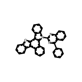 c1ccc(-c2nc(-n3c4ccccc4c4c5oc6ccccc6c5c5ccccc5c43)nc3ccccc23)cc1